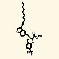 CCCCCCCCC#Cc1coc2ccc(CN(Cc3ccc(C(F)(F)F)cc3)C(=O)C(=O)OCC)cc12